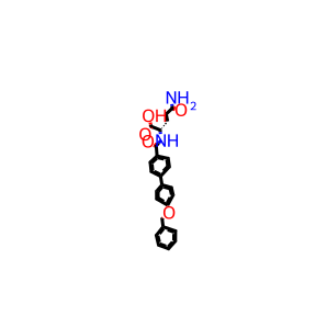 NC(=O)CC[C@H](NC(=O)c1ccc(-c2ccc(OCc3ccccc3)cc2)cc1)C(=O)O